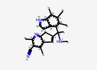 CNC(C)(C1=Cc2c(nc(C)c(C#N)c2C)C1)c1c(C)c(C)c(C)c2[nH]ccc12